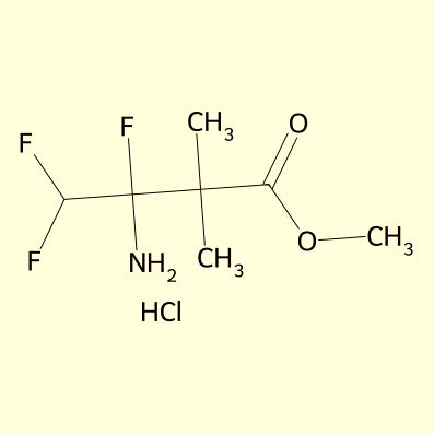 COC(=O)C(C)(C)C(N)(F)C(F)F.Cl